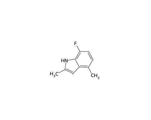 Cc1[c]c2c(C)ccc(F)c2[nH]1